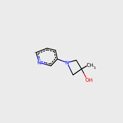 CC1(O)CN(c2cc[c]nc2)C1